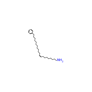 NCCCCCCCC/C=C\CCCCCCCCCCCc1ccccc1